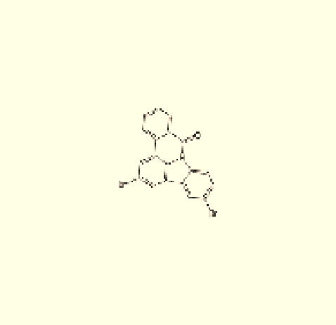 O=c1c2ccccc2c2cc(Br)cc3c4cc(Br)ccc4n1c23